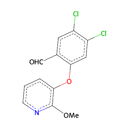 COc1ncccc1Oc1cc(Cl)c(Cl)cc1C=O